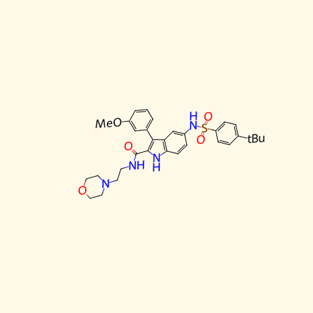 COc1cccc(-c2c(C(=O)NCCN3CCOCC3)[nH]c3ccc(NS(=O)(=O)c4ccc(C(C)(C)C)cc4)cc23)c1